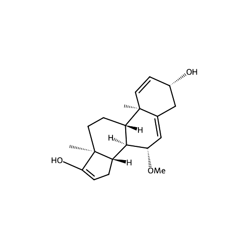 CO[C@H]1C=C2C[C@@H](O)C=C[C@]2(C)[C@H]2CC[C@]3(C)C(O)=CC[C@H]3[C@H]12